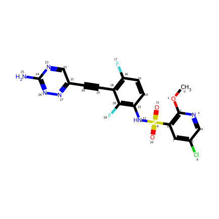 COc1ncc(Cl)cc1S(=O)(=O)Nc1ccc(F)c(C#Cc2cnc(N)nn2)c1F